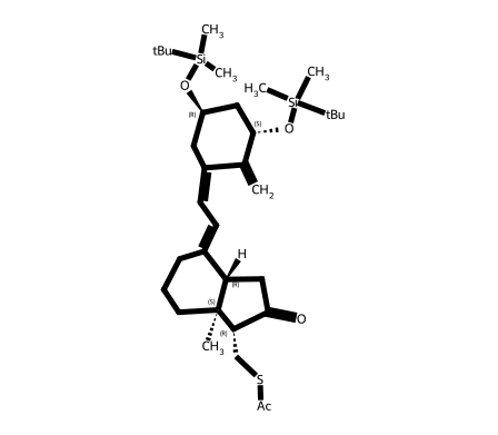 C=C1C(=CC=C2CCC[C@]3(C)[C@@H](CSC(C)=O)C(=O)C[C@@H]23)C[C@@H](O[Si](C)(C)C(C)(C)C)C[C@@H]1O[Si](C)(C)C(C)(C)C